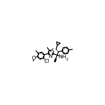 C#CC(N)(c1nc(-c2cc(C)c(OC)cc2Cl)c(C)s1)[C@@H](CC1CC1)c1ccc(C)cc1